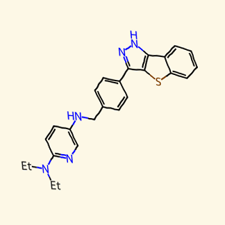 CCN(CC)c1ccc(NCc2ccc(-c3n[nH]c4c3sc3ccccc34)cc2)cn1